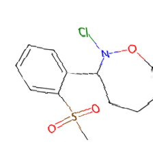 CS(=O)(=O)c1ccccc1C1CCCCON1Cl